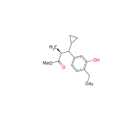 COC(=O)[C@@H](C)C(c1ccc(COC(C)=O)c(O)c1)C1CC1